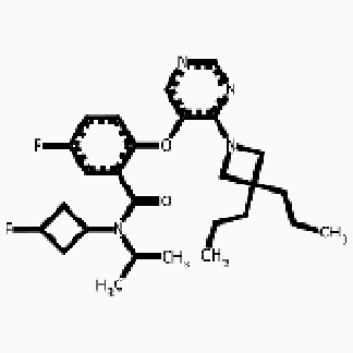 CCCC1(CCC)CN(c2ncncc2Oc2ccc(F)cc2C(=O)N(C(C)C)C2CC(F)C2)C1